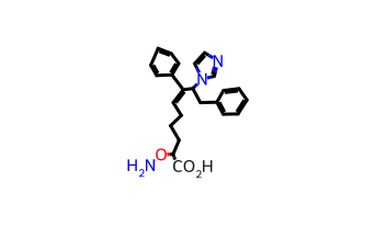 NOC(CCCC=C(c1ccccc1)C(Cc1ccccc1)n1ccnc1)C(=O)O